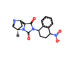 O=C1C2=C3C[C@H](C=N3)N2C(=O)N1C1CCC([N+](=O)[O-])c2ccccc21